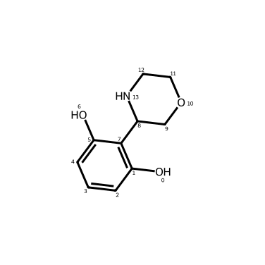 Oc1cccc(O)c1C1COCCN1